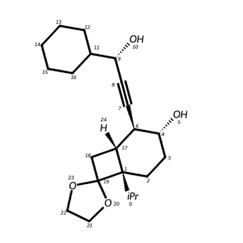 CC(C)[C@]12CC[C@@H](O)[C@H](C#C[C@@H](O)C3CCCCC3)[C@H]1CC21OCCO1